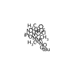 C=Cc1cccc(F)c1-c1nc2c(cc1Cl)c(N1[C@@H](C)CN(C(=O)OC(C)(C)C)C[C@@H]1C)nc(=O)n2-c1c(C)ccnc1C(C)C